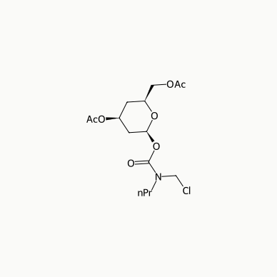 CCCN(CCl)C(=O)O[C@H]1C[C@@H](OC(C)=O)C[C@@H](COC(C)=O)O1